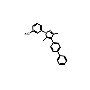 COc1cccc(-n2nc(C)c(-c3ccc(-c4ccccc4)cc3)c2C)c1